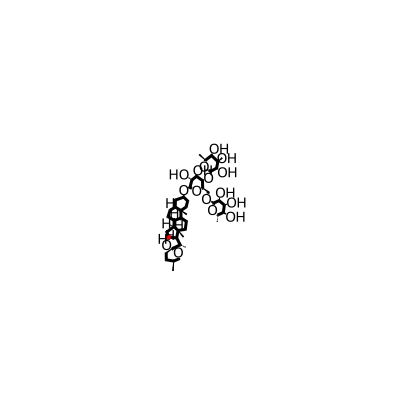 C[C@H]1CC[C@@]2(OC1)O[C@H]1C[C@H]3[C@@H]4CC[C@@H]5C[C@@H](O[C@@H]6O[C@H](CO[C@@H]7O[C@@H](C)[C@H](O)[C@@H](O)[C@H]7O)[C@@H](O[C@@H]7O[C@@H](C)[C@H](O)[C@@H](O)[C@H]7O)[C@H](O)[C@H]6O)CC[C@]5(C)[C@H]4CC[C@]3(C)[C@H]1[C@@H]2C